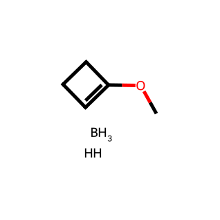 B.COC1=CCC1.[HH]